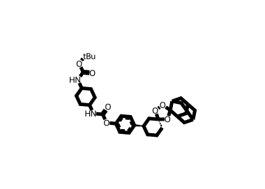 CC(C)(C)OC(=O)NC1CCC(NC(=O)Oc2ccc([C@@H]3CCC[C@]4(C3)OOC3(O4)C4CC5CC(C4)CC3C5)cc2)CC1